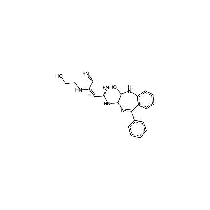 N=C/C(=C\C(=N)NC1N=C(c2ccccc2)c2ccccc2NC1O)NCCO